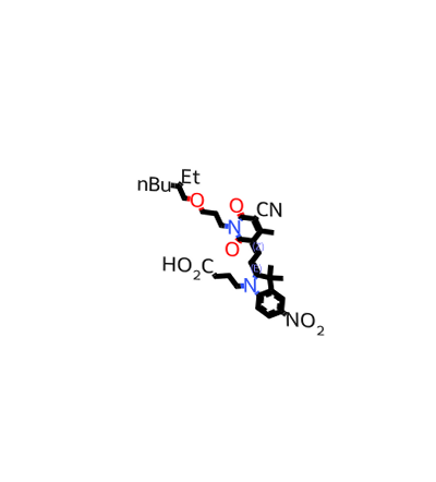 CCCCC(CC)COCCCN1C(=O)C(C#N)=C(C)/C(=C/C=C2/N(CCCC(=O)O)c3ccc([N+](=O)[O-])cc3C2(C)C)C1=O